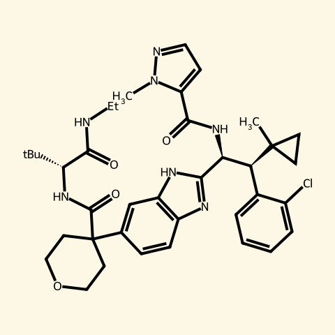 CCNC(=O)[C@H](NC(=O)C1(c2ccc3nc([C@@H](NC(=O)c4ccnn4C)[C@H](c4ccccc4Cl)C4(C)CC4)[nH]c3c2)CCOCC1)C(C)(C)C